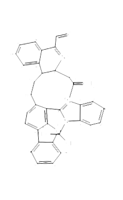 C=CC1=NC2CC(=C)[n+]3c(n(C(C)C)c4ccccc43)-c3c(ccc4c3oc3ccccc34)CCC2c2ccccc21